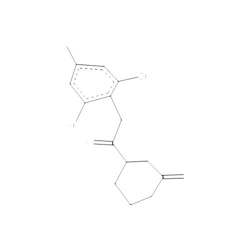 C=C1CCCC(C(=O)Cc2c(CC)cc(C)cc2CC)C1